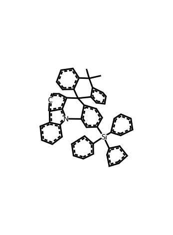 CC1(C)c2ccccc2C2(c3ccc([Si](c4ccccc4)(c4ccccc4)c4ccccc4)cc3-n3c4ccccc4c4cccc2c43)c2ccccc21